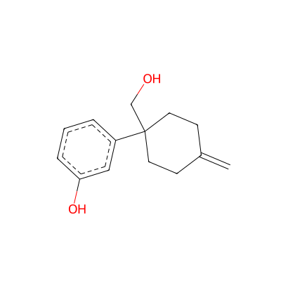 C=C1CCC(CO)(c2cccc(O)c2)CC1